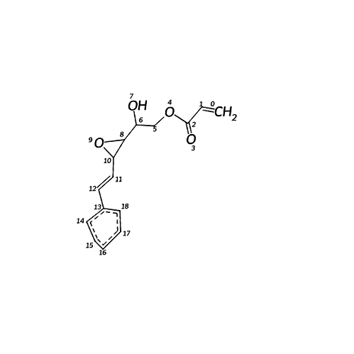 C=CC(=O)OCC(O)C1OC1C=Cc1ccccc1